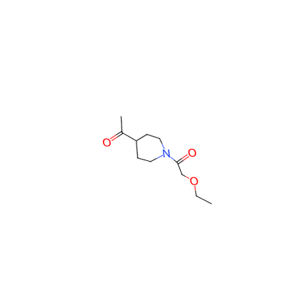 CCOCC(=O)N1CCC(C(C)=O)CC1